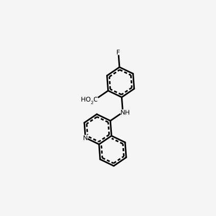 O=C(O)c1cc(F)ccc1Nc1ccnc2ccccc12